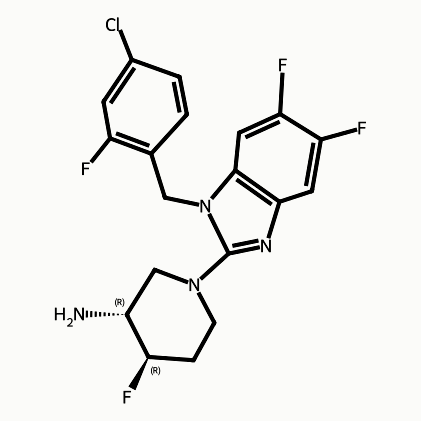 N[C@@H]1CN(c2nc3cc(F)c(F)cc3n2Cc2ccc(Cl)cc2F)CC[C@H]1F